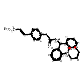 CCOC(=O)C=Cc1ccc(CC(=O)NC(c2ccccc2)c2ccccc2N2CCCCC2)cc1